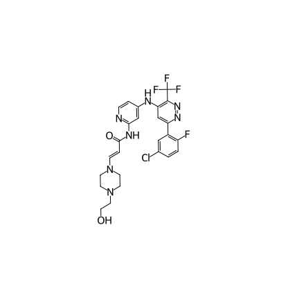 O=C(C=CN1CCN(CCO)CC1)Nc1cc(Nc2cc(-c3cc(Cl)ccc3F)nnc2C(F)(F)F)ccn1